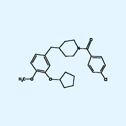 COc1ccc(CC2CCN(C(=O)c3ccc(Cl)cc3)CC2)cc1OC1CCCC1